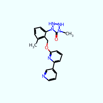 Cc1cccc(N2NNN(C)C2=O)c1COc1cccc(-c2cccnc2)n1